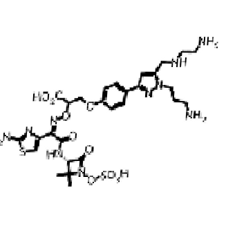 CC1(C)[C@H](NC(=O)/C(=N\OC(COc2ccc(-c3cc(CNCCN)n(CCCN)n3)cc2)C(=O)O)c2csc(N)n2)C(=O)N1OS(=O)(=O)O